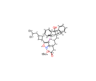 CCC(CC)CC1CC(c2onc(C(CCCC(C)(C)[Si](O)(c3ccccc3)c3ccccc3)CC(=O)OC(C)(C)C)c2I)C1